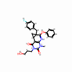 Cn1c2c(c(=O)n(CCCO)c1=O)C1CC1(Cc1ccc(F)cc1)C(Oc1ccccc1)=N2